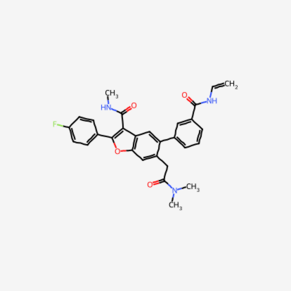 C=CNC(=O)c1cccc(-c2cc3c(C(=O)NC)c(-c4ccc(F)cc4)oc3cc2CC(=O)N(C)C)c1